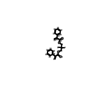 C=C(C(=O)OCC(C)(C)COC(=O)C(=C)c1ccccc1)c1ccccc1